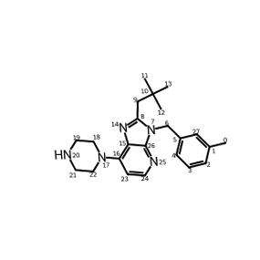 Cc1cccc(Cn2c(CC(C)(C)C)nc3c(N4CCNCC4)ccnc32)c1